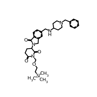 C[Si](C)(C)CCOCN1C(=O)CCC(N2Cc3cc(CNC4CCN(Cc5ccccc5)CC4)ccc3C2=O)C1=O